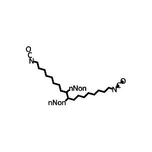 CCCCCCCCCC(CCCCCCCCN=C=O)C(CCCCCCCCC)CCCCCCCCN=C=O